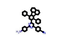 N#Cc1ccc(-c2cc(-c3cc(-c4ccccc4)c4c(c3-c3ccccc3)-c3cccc5cccc-4c35)nc(-c3ccc(N)cc3)n2)cc1